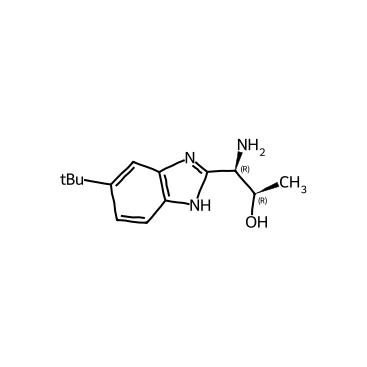 C[C@@H](O)[C@H](N)c1nc2cc(C(C)(C)C)ccc2[nH]1